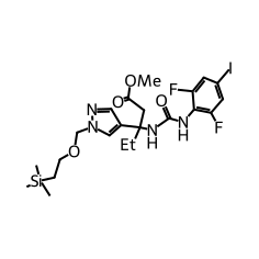 CCC(CC(=O)OC)(NC(=O)Nc1c(F)cc(I)cc1F)c1cnn(COCC[Si](C)(C)C)c1